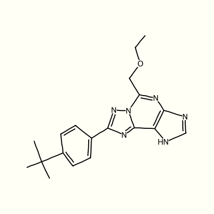 CCOCc1nc2nc[nH]c2c2nc(-c3ccc(C(C)(C)C)cc3)nn12